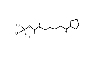 CC(C)(C)OC(=O)NCCCCNC1CCCC1